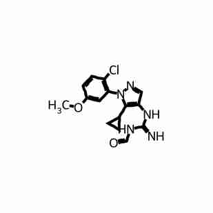 COc1ccc(Cl)c(-n2ncc(NC(=N)NC=O)c2C2CC2)c1